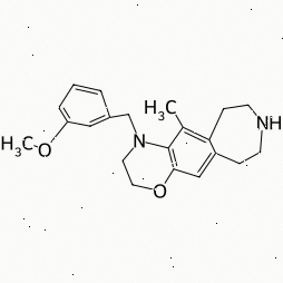 COc1cccc(CN2CCOc3cc4c(c(C)c32)CCNCC4)c1